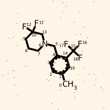 Cc1ccc(CN2CCCC(F)(F)C2)c(C(F)(F)F)c1